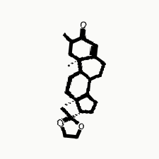 CC1C[C@@]2(C)C(=CC1=O)CCC1C2CC[C@@]2(C)C1CC[C@@H]2C1(C)OCCO1